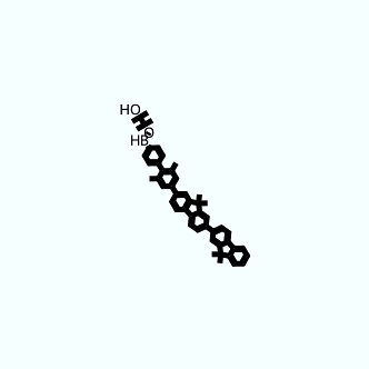 Cc1cc(-c2ccc3c(c2)C(C)(C)c2cc(-c4ccc5c(c4)C(C)(C)c4ccccc4-5)ccc2-3)cc(C)c1-c1ccc(BOC(C)(C)C(C)(C)O)cc1